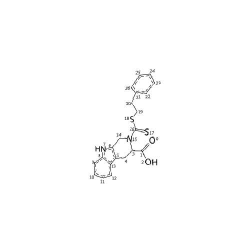 O=C(O)C1Cc2c([nH]c3ccccc23)CN1C(=S)SCCc1ccccc1